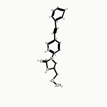 COCC1CN(c2ccc(C#Cc3ccccc3)cn2)C(=O)O1